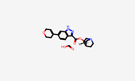 O=C(O[C@@H]1CN2CCC1CC2)c1n[nH]c2cc(C3=CCOCC3)ccc12.O=CO